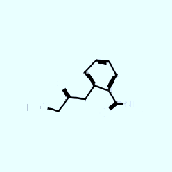 CCC(=O)Cc1ccccc1C(N)=O